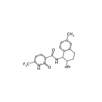 CCCC1CCc2cc(C)ccc2C1NC(=O)c1ccc(C(F)(F)F)[nH]c1=O